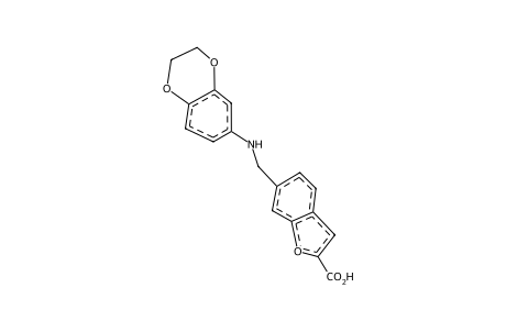 O=C(O)c1cc2ccc(CNc3ccc4c(c3)OCCO4)cc2o1